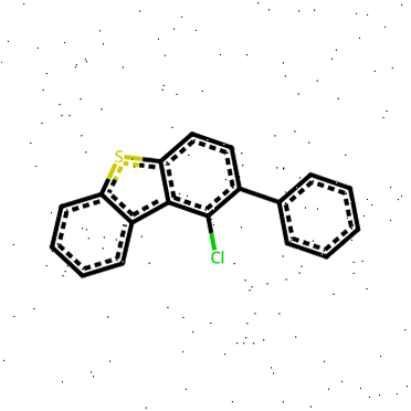 Clc1c(-c2ccccc2)ccc2sc3ccccc3c12